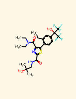 CCc1cc(C(O)(C(F)(F)F)C(F)(F)F)ccc1-c1sc(C(=O)NCC(C)(C)O)nc1C(=O)N(CC)CC